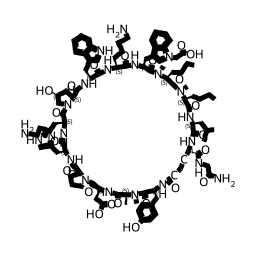 CCCC[C@H]1C(=O)N(C)[C@@H](CCCC)C(=O)N[C@@H](CC(C)C)C(=O)N[C@H](C(=O)NCC(N)=O)CCCC(=O)N[C@@H](Cc2ccc(O)cc2)C(=O)N(C)[C@@H](C)C(=O)N[C@@H](CC(=O)O)C(=O)N2CCC[C@H]2C(=O)N[C@@H](Cc2c[nH]cn2)C(=O)N[C@@H](CCCCN)C(=O)N2C[C@H](O)C[C@H]2C(=O)N[C@@H](Cc2c[nH]c3ccccc23)C(=O)N[C@@H](CCCCN)C(=O)N[C@@H](Cc2cn(CC(=O)O)c3ccccc23)C(=O)N1C